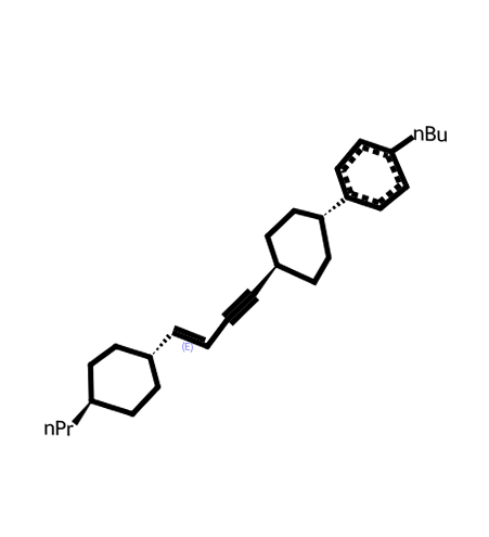 CCCCc1ccc([C@H]2CC[C@H](C#C/C=C/[C@H]3CC[C@H](CCC)CC3)CC2)cc1